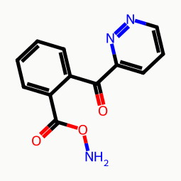 NOC(=O)c1ccccc1C(=O)c1cccnn1